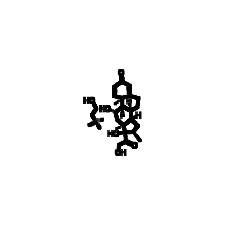 C[C@@H]1C[C@H]2[C@@H]3CCC4=CC(=O)C=C[C@]4(C)[C@@]3(F)[C@@H](O)C[C@]2(C)[C@@]1(O)C(=O)CO.C[N+](C)(C)CCO